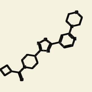 O=C(C1CCC1)N1CCC(c2noc(-c3ccnc(N4CCOCC4)c3)n2)CC1